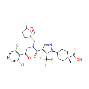 CC12CCC(CN(CC(=O)c3c(Cl)cncc3Cl)C(=O)c3cnn([C@H]4CC[C@](C)(C(=O)O)CC4)c3C(F)(F)F)(CC1)O2